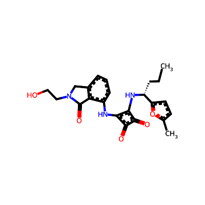 CCC[C@@H](Nc1c(Nc2cccc3c2C(=O)N(CCO)C3)c(=O)c1=O)c1ccc(C)o1